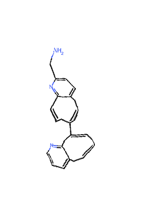 NCc1ccc2cc(-c3cccc4cccnc34)ccc2n1